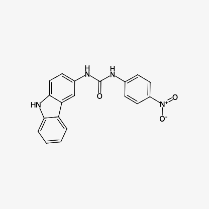 O=C(Nc1ccc([N+](=O)[O-])cc1)Nc1ccc2[nH]c3ccccc3c2c1